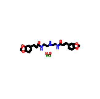 Cl.O.O=C(/C=C/c1ccc2c(c1)OCO2)NCCNCCNC(=O)/C=C/c1ccc2c(c1)OCO2